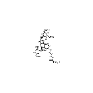 CCCCc1nc2c(Nc3ccc(OC)cc3OC)nc3cc(CCCCCNC(=O)O)ccc3c2n1Cc1ccc(OC)cc1OC